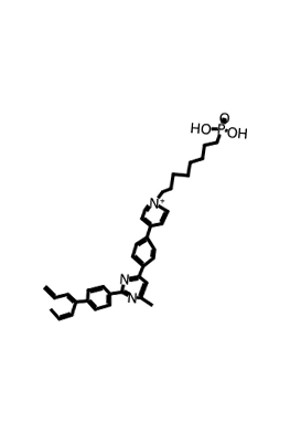 C=C/C=C(\C=C/C)c1ccc(-c2nc(C)cc(-c3ccc(-c4cc[n+](CCCCCCCCP(=O)(O)O)cc4)cc3)n2)cc1